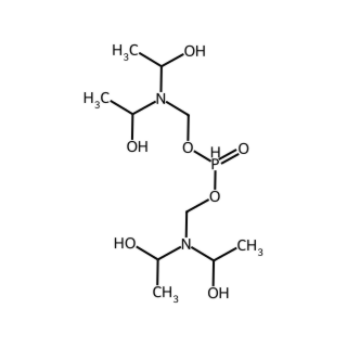 CC(O)N(CO[PH](=O)OCN(C(C)O)C(C)O)C(C)O